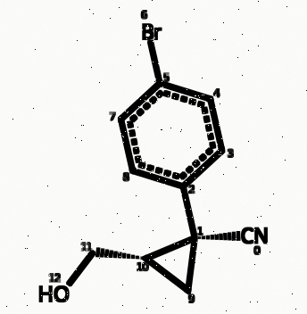 N#C[C@]1(c2ccc(Br)cc2)C[C@@H]1CO